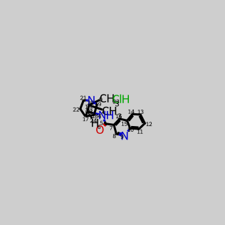 CC1(C)[C@H](NC(=O)c2cnc3ccccc3c2)C2CCN1CC2.Cl